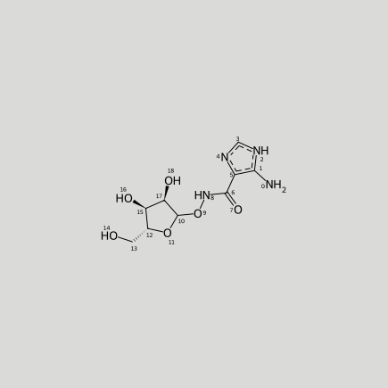 Nc1[nH]cnc1C(=O)NOC1O[C@H](CO)[C@@H](O)[C@H]1O